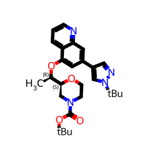 C[C@@H](Oc1cc(-c2cnn(C(C)(C)C)c2)cc2ncccc12)[C@@H]1CN(C(=O)OC(C)(C)C)CCO1